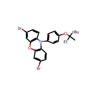 CCCCC(C)(CC)Oc1ccc(N2c3ccc(Br)cc3Oc3cc(Br)ccc32)cc1